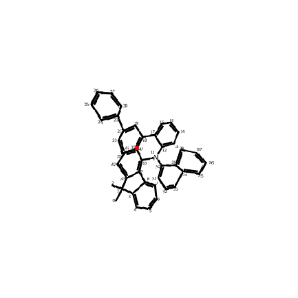 CC1(C)c2ccccc2-c2c(N(c3ccccc3-c3cccc(-c4ccccc4)c3)c3cccc4ccccc34)cccc21